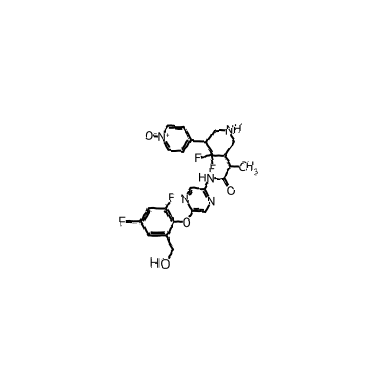 CC(C(=O)Nc1cnc(Oc2c(F)cc(F)cc2CO)cn1)C1CNCC(c2cc[n+]([O-])cc2)C1(F)F